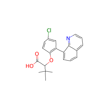 CC(C)(C)C(Oc1ccc(Cl)cc1-c1cccc2cccnc12)C(=O)O